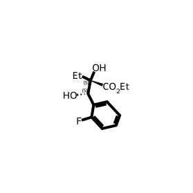 CCOC(=O)[C@](O)(CC)[C@@H](O)c1ccccc1F